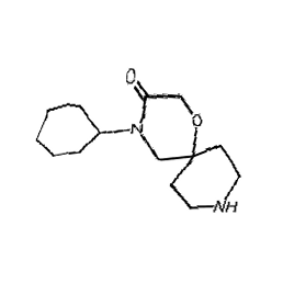 O=C1COC2(CCNCC2)CN1C1CCCCC1